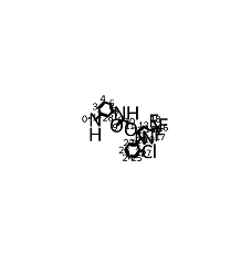 CNc1cccc(NC(=O)COc2cc(C(F)(F)F)nn2-c2ccccc2Cl)c1